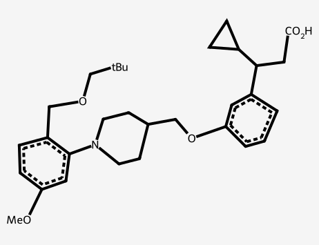 COc1ccc(COCC(C)(C)C)c(N2CCC(COc3cccc(C(CC(=O)O)C4CC4)c3)CC2)c1